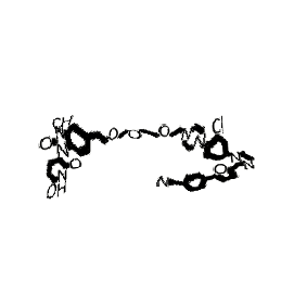 Cn1c(=O)n(C2CCC(=O)NC2=O)c2ccc(CCOCCOCCOCCN3CCN(c4ccc(-n5ccnc5-c5ccc(-c6ccc(C#N)cc6)o5)cc4Cl)CC3)cc21